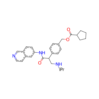 CC(C)NCC(C(=O)Nc1ccc2cnccc2c1)c1ccc(COC(=O)C2CCCC2)cc1